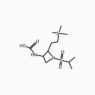 CC(C)S(=O)(=O)N1CC(NC(=O)O)C1CC[Si](C)(C)C